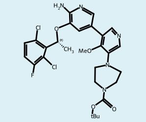 COc1c(-c2cnc(N)c(O[C@H](C)c3c(Cl)ccc(F)c3Cl)c2)cncc1N1CCN(C(=O)OC(C)(C)C)CC1